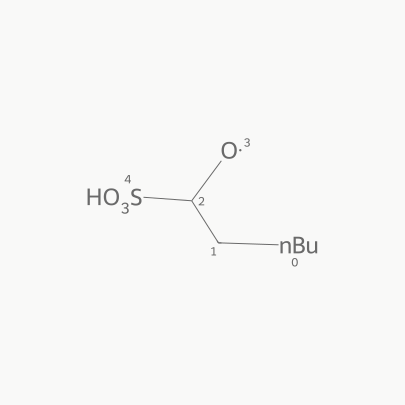 CCCCCC([O])S(=O)(=O)O